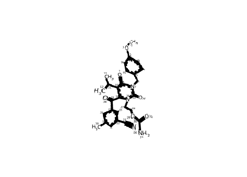 COc1ccc(Cn2c(=O)c(C(C)C)c(C(=O)c3cc(C)cc(C#N)c3)n(CCOC(N)=O)c2=O)cc1